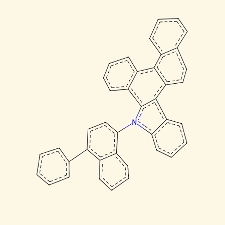 c1ccc(-c2ccc(-n3c4ccccc4c4c5ccc6ccccc6c5c5ccccc5c43)c3ccccc23)cc1